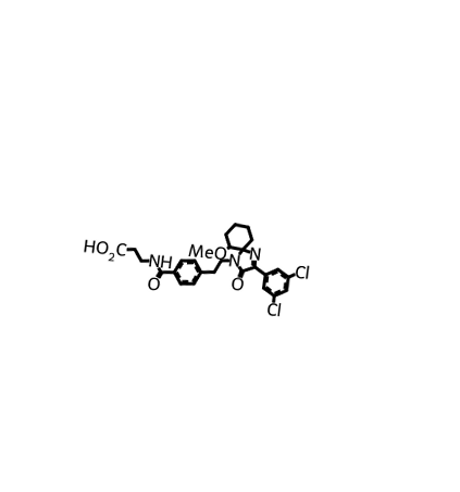 COC1CCCCC12N=C(c1cc(Cl)cc(Cl)c1)C(=O)N2CCc1ccc(C(=O)NCCC(=O)O)cc1